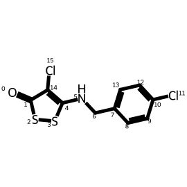 O=c1ssc(NCc2ccc(Cl)cc2)c1Cl